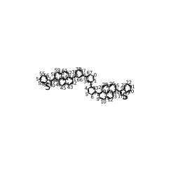 c1cc(-c2cccc(-c3ccc4ccc5c(-c6csc7ccccc67)ccc6ccc3c4c65)c2)cc(-c2cccc(-c3ccc4ccc5c(-c6csc7ccccc67)ccc6ccc3c4c65)c2)c1